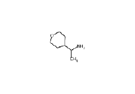 CC(N)C1CCOCC1